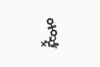 CC(C)(C)OC(=O)NC(Cc1ccc(S(=O)(=O)c2ccccc2)cc1)C(N)=O